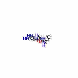 C[C@H](NC(=O)[C@H]1C[C@@H](Cc2ccccc2)CN1)C(=O)NCc1ccc(C(=N)N)cc1